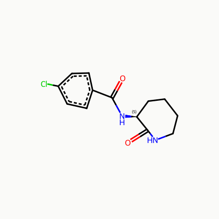 O=C(N[C@H]1CCCCNC1=O)c1ccc(Cl)cc1